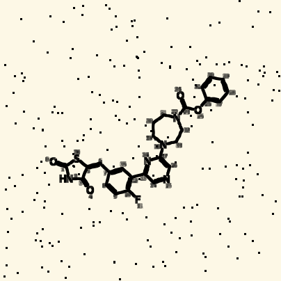 O=C1NC(=O)/C(=C\c2ccc(F)c(-c3cncc(N4CCCN(C(=O)Oc5ccccc5)CC4)n3)c2)S1